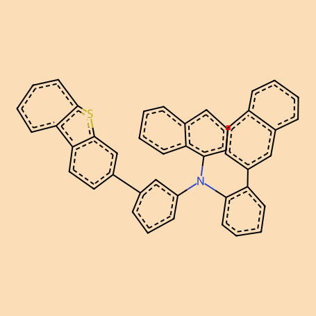 c1cc(-c2ccc3c(c2)sc2ccccc23)cc(N(c2ccccc2-c2ccc3ccccc3c2)c2cccc3ccccc23)c1